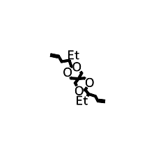 C=CCC(CC)C1OCC2(CO1)COC(C(CC)CC=C)OC2